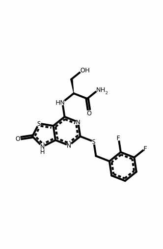 NC(=O)[C@H](CO)Nc1nc(SCc2cccc(F)c2F)nc2[nH]c(=O)sc12